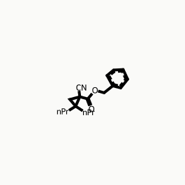 CCCC1(CCC)CC1(C#N)C(=O)OCc1ccccc1